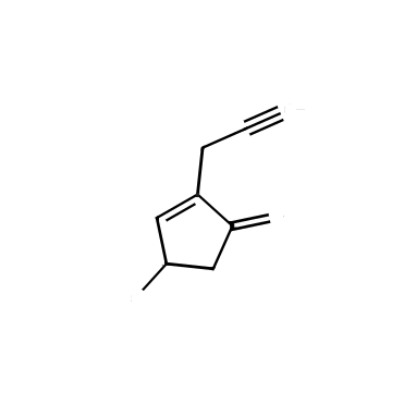 C#CCC1=C[C](C)CC1=O